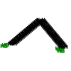 Cl.Cl.Cl.Cl.Cl.[NaH].[NaH].[NaH].[NaH].[NaH].[NaH].[NaH].[NaH].[NaH].[NaH].[NaH].[NaH].[NaH].[NaH].[NaH].[NaH].[NaH].[NaH].[NaH].[NaH].[NaH].[NaH].[NaH].[NaH].[NaH].[NaH].[NaH].[NaH].[NaH].[NaH].[NaH].[NaH].[NaH].[NaH].[NaH].[NaH].[NaH].[NaH].[NaH].[NaH].[NaH].[NaH]